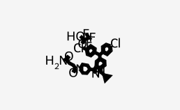 NC(=O)CCC(=O)N1CCC(c2nn(C3CC3)c3ccc(C(c4ccc(Cl)cc4)c4ccc(Cl)cc4)cc23)CC1.O=C(O)C(F)(F)F